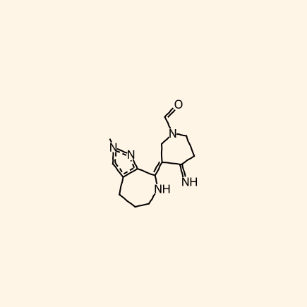 Cn1cc2c(n1)/C(=C1\CN(C=O)CCC1=N)NCCC2